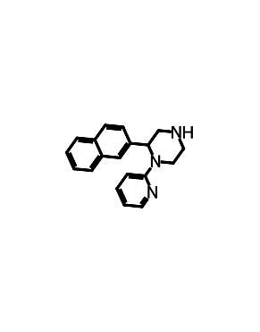 c1ccc(N2CCNCC2c2ccc3ccccc3c2)nc1